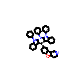 c1ccc(N2c3c(c4ccccc4n3-c3ccccc3)B(c3ccc4oc5ccncc5c4c3)c3c2n(-c2ccccc2)c2ccccc32)cc1